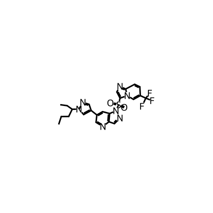 CCCC(CC)n1cc(-c2cnc3cnn(S(=O)(=O)c4cnc5ccc(C(F)(F)F)cn45)c3c2)cn1